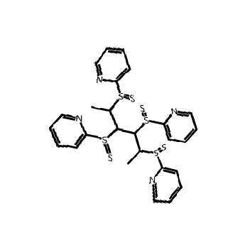 CC(C(C(C(C)S(=S)c1ccccn1)S(=S)c1ccccn1)S(=S)c1ccccn1)S(=S)c1ccccn1